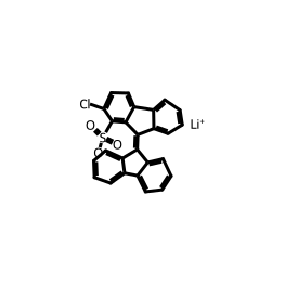 O=S(=O)([O-])c1c(Cl)ccc2c1C(=C1c3ccccc3-c3ccccc31)c1ccccc1-2.[Li+]